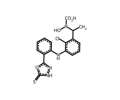 CC(c1cccc(Nc2ccccc2-c2n[nH]c(=S)o2)c1Cl)N(O)C(=O)O